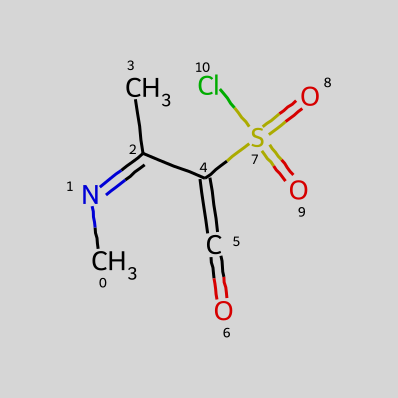 C/N=C(/C)C(=C=O)S(=O)(=O)Cl